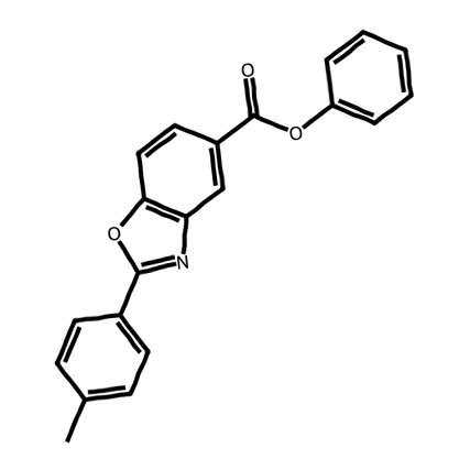 Cc1ccc(-c2nc3cc(C(=O)Oc4ccccc4)ccc3o2)cc1